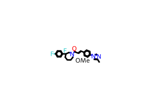 COc1cc(C=CC(=O)N2CCCCC(F)(c3ccc(F)cc3)C2)ccc1-n1cnc(C)c1